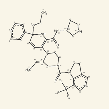 CCOC1(c2cccnc2)C=CC(N2CCN(C(=O)N3CCc4cccc(C(F)(F)F)c43)C[C@H]2CC)=C(C(=O)N[C@@H]2CCNC2)N1